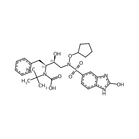 CC(C)(C)N(C(=O)O)[C@@H](Cc1ccccc1)[C@@H](O)CN(OC1CCCC1)S(=O)(=O)c1ccc2[nH]c(O)nc2c1